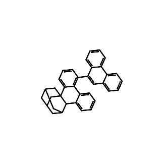 c1ccc2c(c1)-c1c(-c3cc4ccccc4c4ccccc34)cccc1C13CC4CC(CC(C4)C21)C3